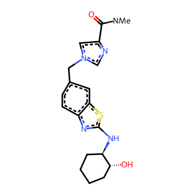 CNC(=O)c1cn(Cc2ccc3nc(N[C@@H]4CCCC[C@H]4O)sc3c2)cn1